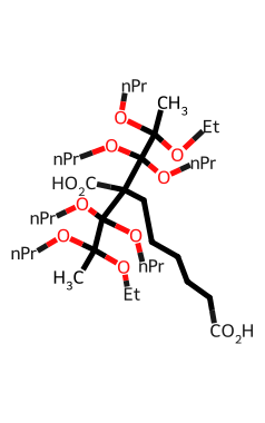 CCCOC(C)(OCC)C(OCCC)(OCCC)C(CCCCCC(=O)O)(C(=O)O)C(OCCC)(OCCC)C(C)(OCC)OCCC